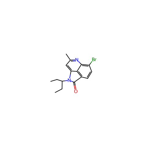 CCC(CC)N1C(=O)c2ccc(Br)c3nc(C)cc1c23